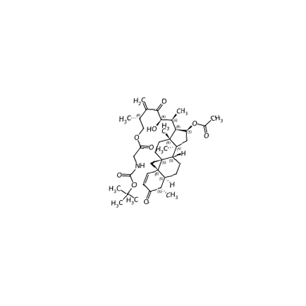 C=C(C(=O)[C@H](O)[C@@H](C)[C@H]1[C@@H](OC(C)=O)C[C@@]2(C)[C@@H]3CC[C@H]4[C@H](C)C(=O)C=C[C@@]45C[C@@]35CC[C@]12C)[C@@H](C)COC(=O)CNC(=O)OC(C)(C)C